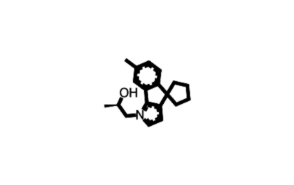 Cc1ccc2c(c1)-c1c(ccn1C[C@@H](C)O)C21CCCC1